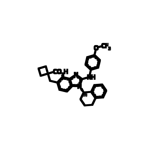 O=C(O)C1(Cc2ccc3c(c2)nc(Nc2ccc(OC(F)(F)F)cc2)n3[C@@H]2CCCc3ccccc32)CCC1